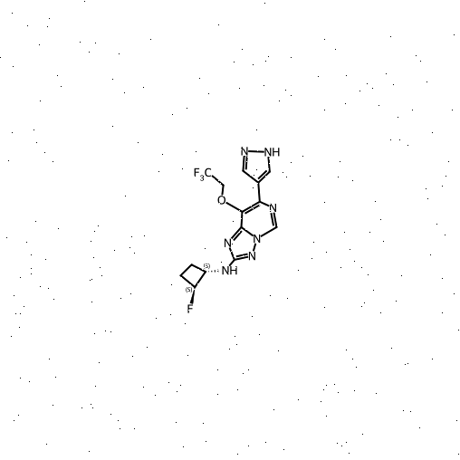 F[C@H]1CC[C@@H]1Nc1nc2c(OCC(F)(F)F)c(-c3cn[nH]c3)ncn2n1